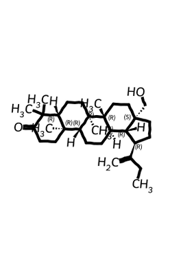 C=C(CC)[C@@H]1CC[C@]2(CO)CC[C@]3(C)[C@H](CC[C@@H]4[C@@]5(C)CCC(=O)C(C)(C)[C@@H]5CC[C@]43C)[C@@H]12